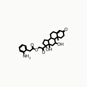 CC12CCC(=O)C=C1CCC1C2C(O)CC2(C)C1CCC2(O)C(=O)COC(=O)Cc1ccccc1N